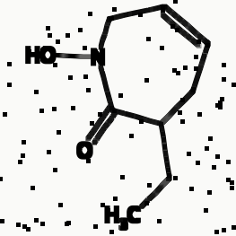 CCC1CC=CCN(O)C1=O